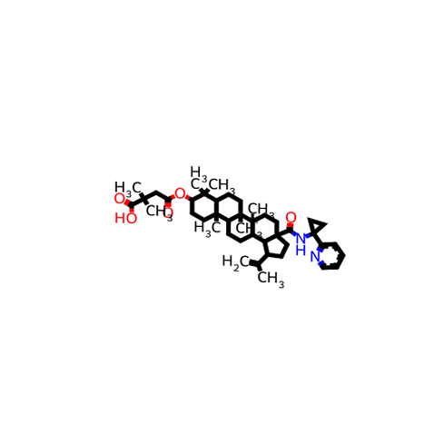 C=C(C)C1CCC2(C(=O)NC3(c4ccccn4)CC3)CC[C@]3(C)C(CCC4C5(C)CCC(OC(=O)CC(C)(C)C(=O)O)C(C)(C)C5CCC43C)C12